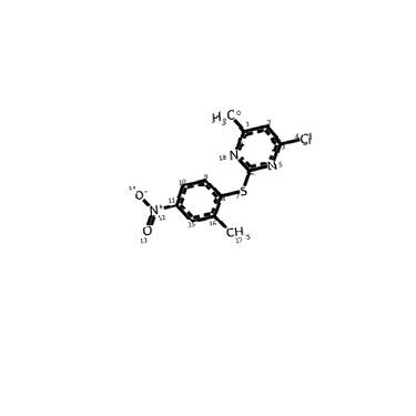 Cc1cc(Cl)nc(Sc2ccc([N+](=O)[O-])cc2C)n1